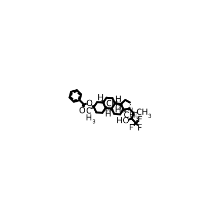 C[C@H](C(O)C(F)(F)F)[C@H]1CC[C@H]2[C@@H]3CC[C@@H]4C[C@@](C)(OC(=O)c5ccccc5)CC[C@]4(C)[C@H]3CC[C@]12C